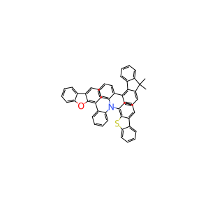 CC1(C)c2ccccc2-c2c(-c3ccccc3N(c3ccccc3-c3cccc4c3oc3ccccc34)c3cccc4c3sc3ccccc34)cccc21